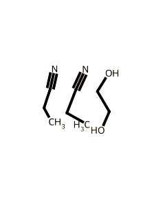 CCC#N.CCC#N.OCCO